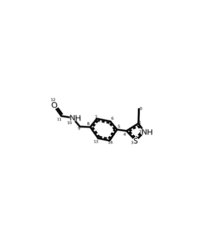 Cc1[nH]sc1-c1ccc(CNC=O)cc1